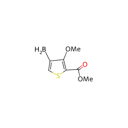 Bc1csc(C(=O)OC)c1OC